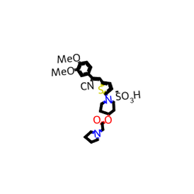 COc1ccc(/C(C#N)=C/c2ccc(N3CCC(OC(=O)CN4CCCC4)CC3)s2)cc1OC.CS(=O)(=O)O